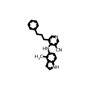 Cc1c(Nc2c(C#N)cncc2CCCc2ccccc2)ccc2[nH]ccc12